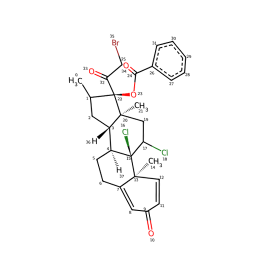 CC1C[C@H]2[C@@H]3CCC4=CC(=O)C=C[C@]4(C)[C@@]3(Cl)C(Cl)C[C@]2(C)[C@@]1(OC(=O)c1ccccc1)C(=O)CBr